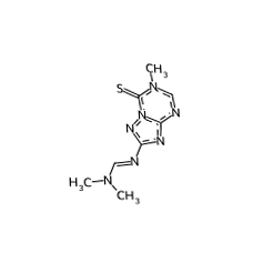 CN(C)C=Nc1nc2ncn(C)c(=S)n2n1